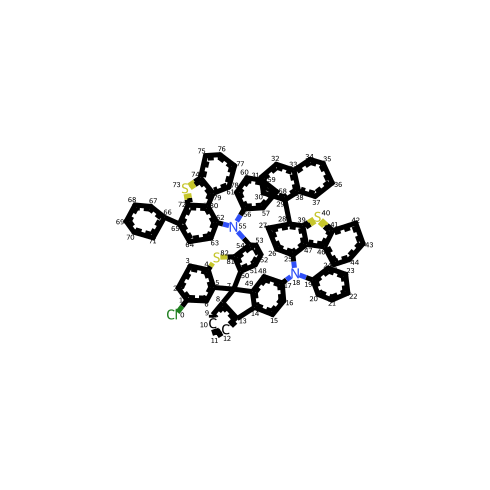 Clc1ccc2c(c1)C1(c3ccccc3-c3ccc(N(c4ccccc4)c4ccc(-c5cccc6ccccc56)c5sc6ccccc6c45)cc31)c1cccc(N(c3ccccc3)c3ccc(-c4ccccc4)c4sc5ccccc5c34)c1S2